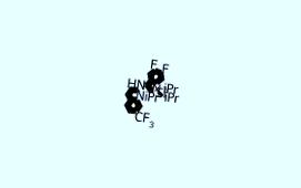 CC(C)[Si](C(C)C)(C(C)C)n1cc(Nc2ccc3ccc(C(F)(F)F)cc3n2)c2cc(F)c(F)cc21